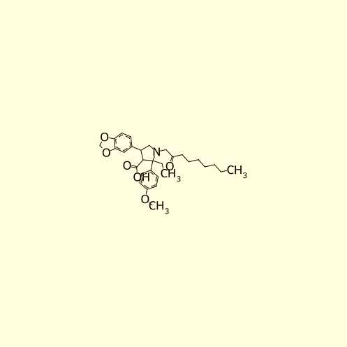 CCCCCCCC(=O)CN1CC(c2ccc3c(c2)OCO3)C(C(=O)O)C1(CC)c1ccc(OC)cc1